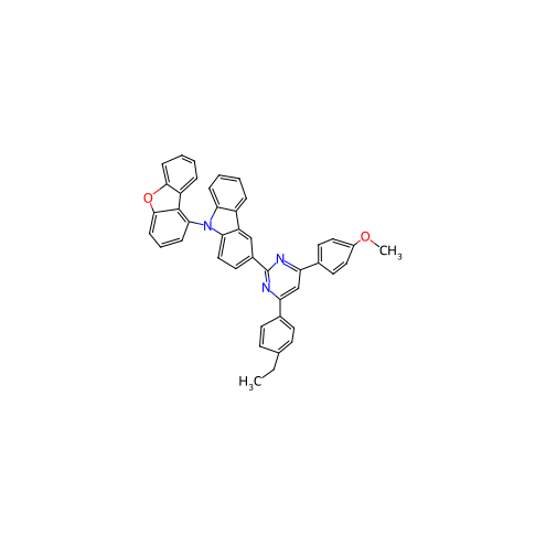 CCc1ccc(-c2cc(-c3ccc(OC)cc3)nc(-c3ccc4c(c3)c3ccccc3n4-c3cccc4oc5ccccc5c34)n2)cc1